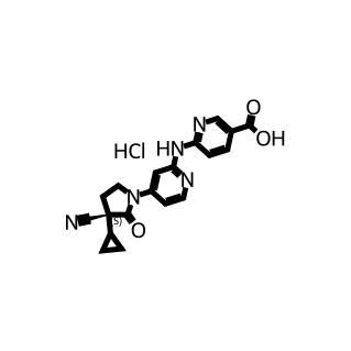 Cl.N#C[C@@]1(C2CC2)CCN(c2ccnc(Nc3ccc(C(=O)O)cn3)c2)C1=O